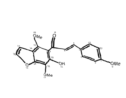 COc1ccc(/C=C/C(=O)c2c(O)c(OC)c3occc3c2OC)cc1